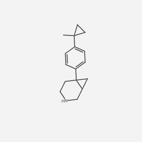 CC1(c2ccc(C34CCNCC3C4)cc2)CC1